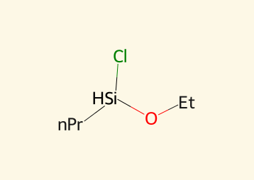 CCC[SiH](Cl)OCC